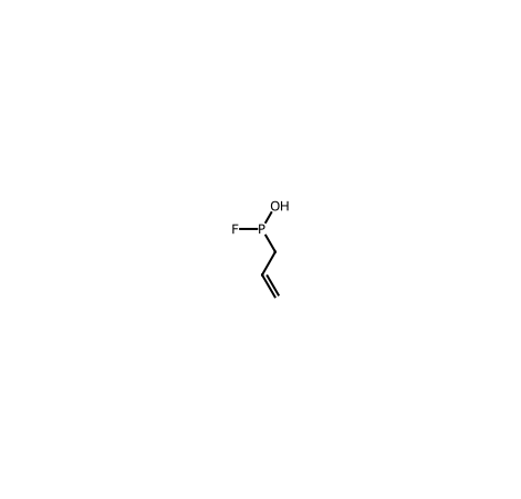 C=CCP(O)F